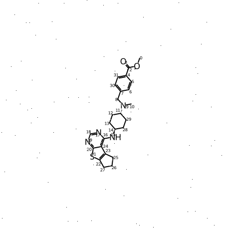 COC(=O)c1ccc(CN(C)[C@H]2CC[C@H](Nc3ncnc4sc5c(c34)CCC5)CC2)cc1